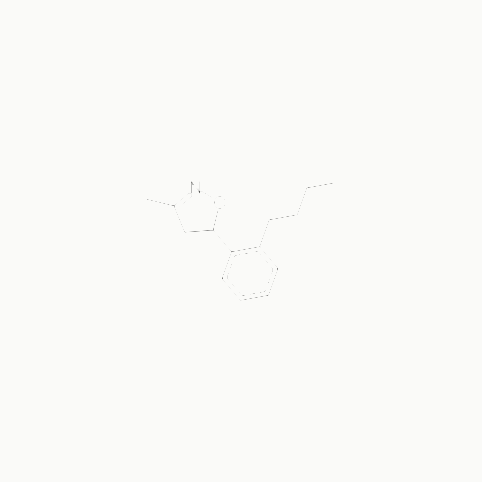 CCCCc1ccccc1C1CC(C)=NO1